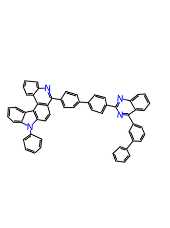 c1ccc(-c2cccc(-c3nc(-c4ccc(-c5ccc(-c6nc7ccccc7c7c6ccc6c7c7ccccc7n6-c6ccccc6)cc5)cc4)nc4ccccc34)c2)cc1